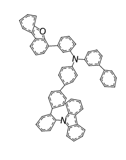 c1ccc(-c2cccc(N(c3ccc(-c4ccc(-c5ccccc5-n5c6ccccc6c6ccccc65)cc4)cc3)c3cccc(-c4cccc5c4oc4ccccc45)c3)c2)cc1